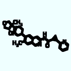 Cc1cc2cnc(NC(=O)C3CC3c3ccccn3)cc2cc1C1CCN([C@@]2(C)COC[C@H]2O)CC1